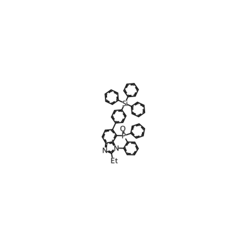 CCc1nc2ccc(-c3ccc([Si](c4ccccc4)(c4ccccc4)c4ccccc4)cc3)c3c2n1-c1ccccc1P3(=O)c1ccccc1